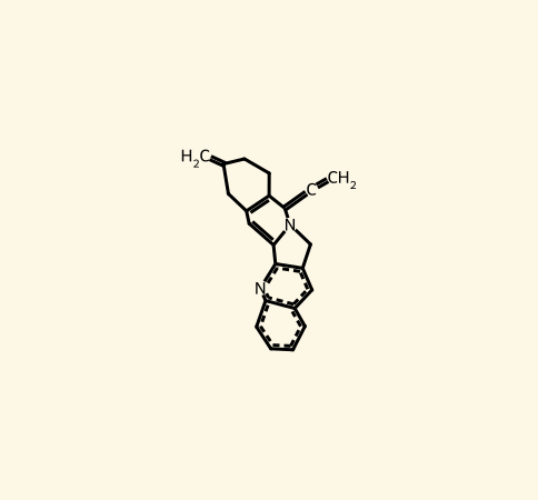 C=C=C1C2=C(C=C3c4nc5ccccc5cc4CN13)CC(=C)CC2